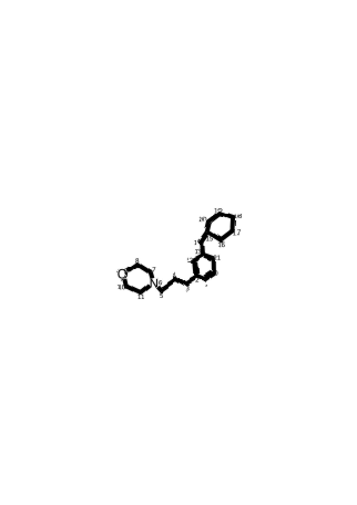 c1cc(CCCN2CCOCC2)cc(CC2CCCCC2)c1